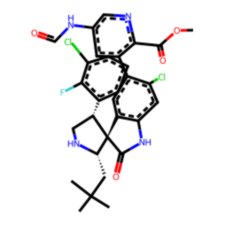 COC(=O)c1ncc(NC=O)cc1-c1cc2c(cc1Cl)NC(=O)[C@@]21[C@H](CC(C)(C)C)NC[C@@H]1c1cccc(Cl)c1F